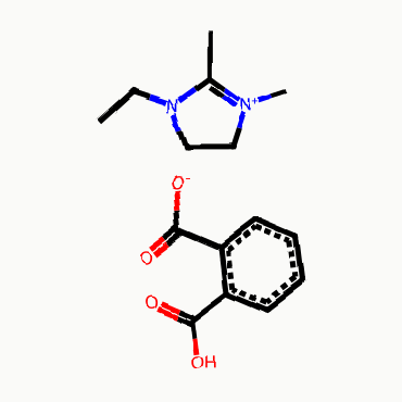 CCN1CC[N+](C)=C1C.O=C([O-])c1ccccc1C(=O)O